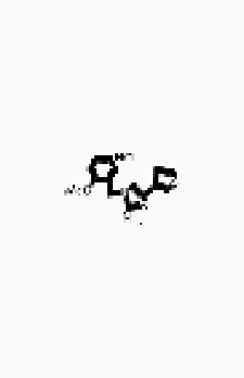 COc1ccccc1Cn1cc(-c2ccsc2)nc1N.Cl